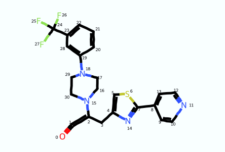 O=C=C(Cc1csc(-c2ccncc2)n1)N1CCN(c2cccc(C(F)(F)F)c2)CC1